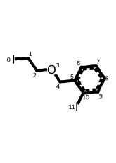 ICCOCc1ccccc1I